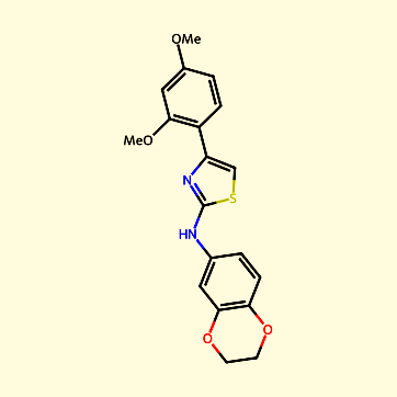 COc1ccc(-c2csc(Nc3ccc4c(c3)OCCO4)n2)c(OC)c1